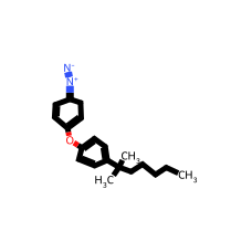 CCCCCC(C)(C)c1ccc(OC2=CCC(=[N+]=[N-])C=C2)cc1